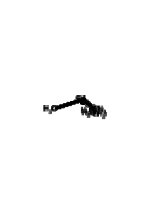 CCCCCCCCCCCCCCC(C)c1ccc(COCCO[Si](C)(C)C(C)(C)C)cc1